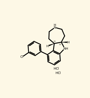 Cl.Cl.Clc1cccc(-c2cccc3c2[C@@H]2CCNCC[C@@H]2N3)c1